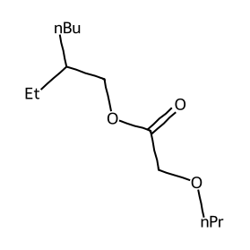 CCCCC(CC)COC(=O)COCCC